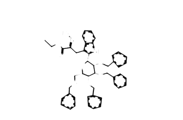 CCOC(=O)C(Cc1c([C@@H]2O[C@H](COCc3ccccc3)[C@@H](OCc3ccccc3)[C@H](OCc3ccccc3)[C@@H]2OCc2ccccc2)[nH]c2ccccc12)=NO